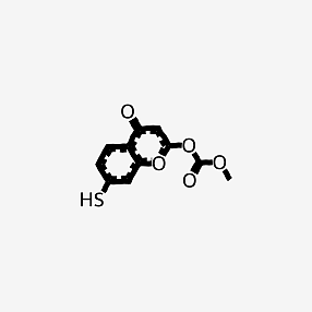 COC(=O)Oc1cc(=O)c2ccc(S)cc2o1